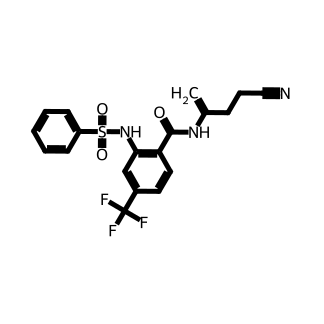 C=C(CCC#N)NC(=O)c1ccc(C(F)(F)F)cc1NS(=O)(=O)c1ccccc1